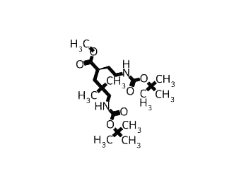 COC(=O)[C@@H](CCNC(=O)OC(C)(C)C)CC(C)(C)CNC(=O)OC(C)(C)C